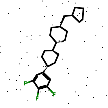 Fc1cc([C@H]2CC[C@H]([C@H]3CC[C@H](CC4CCCC4)CC3)CC2)cc(F)c1F